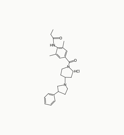 CCC(=O)Nc1c(C)cc(C(=O)N2CCC(N3CCC(c4ccccc4)C3)CC2)cc1C.Cl